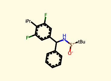 CC(C)c1c(F)cc(C(N[S@+]([O-])C(C)(C)C)c2ccccc2)cc1F